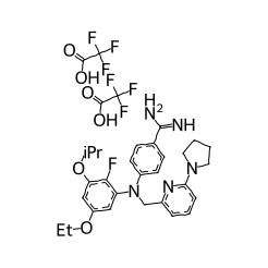 CCOc1cc(OC(C)C)c(F)c(N(Cc2cccc(N3CCCC3)n2)c2ccc(C(=N)N)cc2)c1.O=C(O)C(F)(F)F.O=C(O)C(F)(F)F